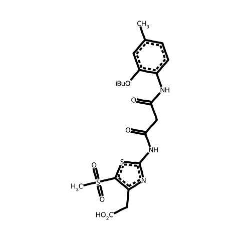 Cc1ccc(NC(=O)CC(=O)Nc2nc(CC(=O)O)c(S(C)(=O)=O)s2)c(OCC(C)C)c1